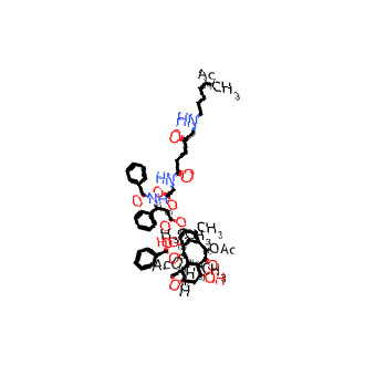 CC(=O)O[C@H]1C(=O)[C@@]2(C)[C@H]([C@H](OC(=O)c3ccccc3)[C@]3(O)C[C@H](OC(=O)[C@H](OC(=O)CNC(=O)CCC(=O)CNCCCC[C@@H](C)C(C)=O)[C@@H](NC(=O)c4ccccc4)c4ccccc4)C(C)=C1C3(C)C)[C@]1(OC(C)=O)CO[C@@H]1C[C@@H]2O